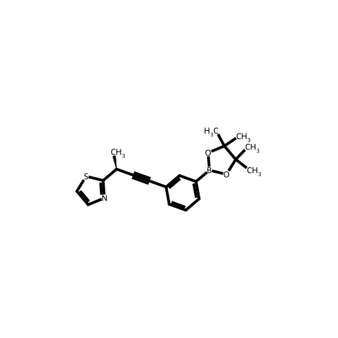 C[C@@H](C#Cc1cccc(B2OC(C)(C)C(C)(C)O2)c1)c1nccs1